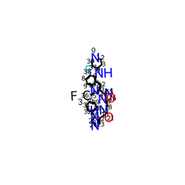 CN1CC[C@@H](Nc2cccc3c2cc(-c2noc(CNC(=O)c4cncn4-c4ccccc4)n2)n3CC(F)(F)F)[C@@H](F)C1